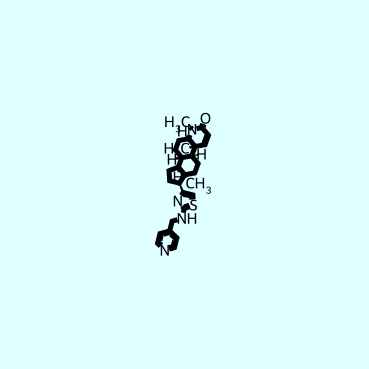 CN1C(=O)C=C[C@]2(C)[C@H]3CC[C@]4(C)[C@@H](c5csc(NCc6ccncc6)n5)CC[C@H]4[C@@H]3CC[C@@H]12